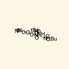 CC(C)(C)OC(=O)/N=C/CCC[C@H](NC(=O)OC(C)(C)C)C(=O)NCCOCCOCCOCCN=[N+]=[N-]